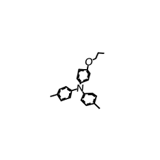 CCCOc1ccc(N(c2ccc(C)cc2)c2ccc(C)cc2)cc1